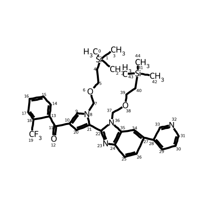 C[Si](C)(C)CCOCn1cc(C(=O)c2ccccc2C(F)(F)F)cc1-c1nc2ccc(-c3cccnc3)cc2n1COCC[Si](C)(C)C